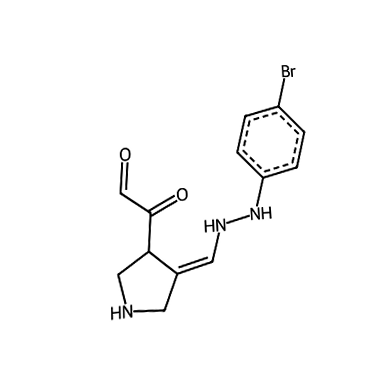 O=CC(=O)C1CNCC1=CNNc1ccc(Br)cc1